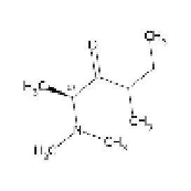 CCC(C)C(=O)[C@H](C)N(C)C